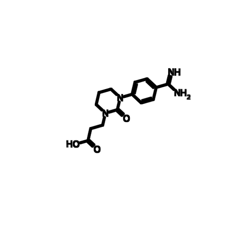 N=C(N)c1ccc(N2CCCN(CCC(=O)O)C2=O)cc1